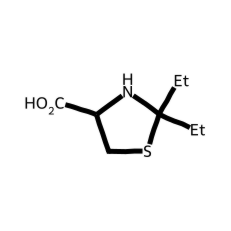 CCC1(CC)NC(C(=O)O)CS1